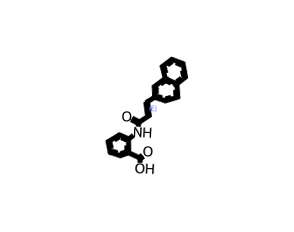 O=C(/C=C/c1ccc2ccccc2c1)Nc1ccccc1C(=O)O